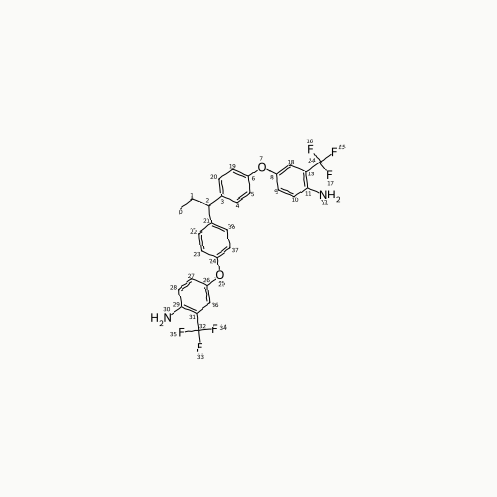 CCC(c1ccc(Oc2ccc(N)c(C(F)(F)F)c2)cc1)c1ccc(Oc2ccc(N)c(C(F)(F)F)c2)cc1